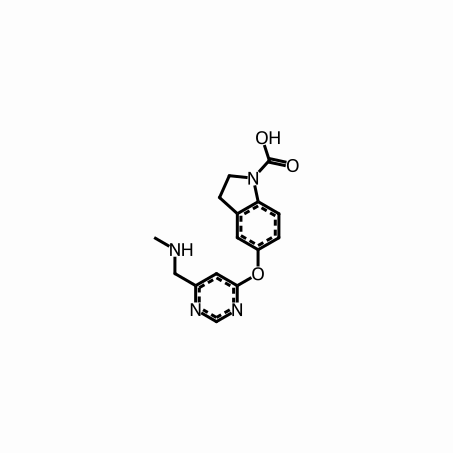 CNCc1cc(Oc2ccc3c(c2)CCN3C(=O)O)ncn1